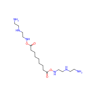 NCCNCCNOC(=O)CCCCCCCC(=O)ONCCNCCN